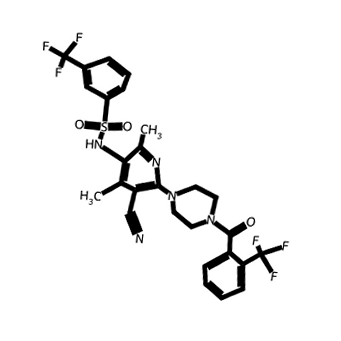 Cc1nc(N2CCN(C(=O)c3ccccc3C(F)(F)F)CC2)c(C#N)c(C)c1NS(=O)(=O)c1cccc(C(F)(F)F)c1